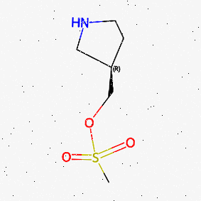 CS(=O)(=O)OC[C@@H]1CCNC1